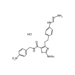 CC(=O)Nc1nc(CCc2ccc(NC=NN)cc2)c(C(=O)NCc2ccc([N+](=O)[O-])cc2)s1.Cl